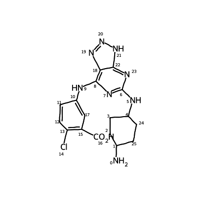 NC1CCC(Nc2nc(Nc3ccc(Cl)c(C(=O)O)c3)c3nn[nH]c3n2)CC1